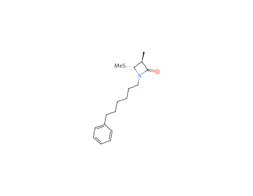 CS[C@@H]1[C@@H](C)C(=O)N1CCCCCCc1ccccc1